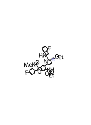 CCO/C=C/c1ccc(-c2cc3c(C(=O)NC)c(-c4ccc(F)cc4)oc3cc2NS(=O)(=O)CC)nc1-c1cc2c(F)cccc2[nH]1